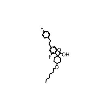 CCCCCCOC1CCC(C(=O)O)(c2ccc(CCc3ccc(F)cc3)cc2F)CC1